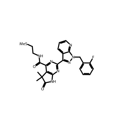 CSCCNC(=O)c1nc(-c2nn(Cc3ccccc3F)c3ncccc23)nc2c1C(C)(C)C(=O)N2